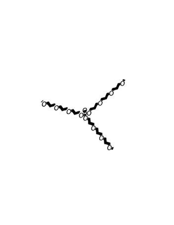 COCCCOCCCOCCCOP(=O)(OCCCOCCCOCCCOC)OCCCOCCCOCCCOC